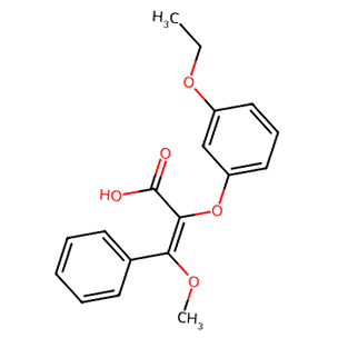 CCOc1cccc(OC(C(=O)O)=C(OC)c2ccccc2)c1